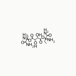 CC[C@@](N)(OC(=O)C(O)C(O)C(=O)O[C@](N)(CC)C(N)=O)C(N)=O